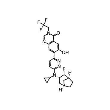 O=c1c2cc(O)c(-c3ccc(N(C4CC4)[C@H]4C[C@@H]5CC[C@@H](C5)[C@H]4F)nn3)cc2ncn1CC(F)(F)F